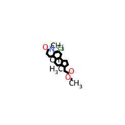 CCOC(=O)CC1CCC2C3CC(Cl)=C4N(C)C(=O)CCC4(C)C3CCC12C